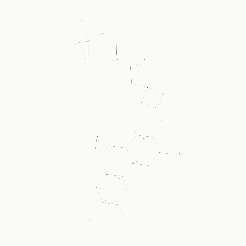 COc1cc(-c2ccc(F)c(F)c2)c(C2CC2)cc1CN1CC2(CC(N3CCC(C)(C(=O)O)CC3)=NO2)C1